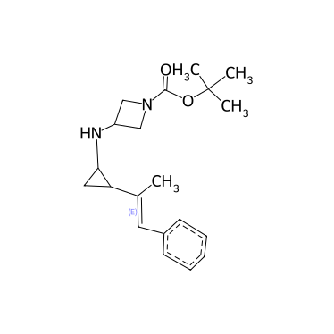 C/C(=C\c1ccccc1)C1CC1NC1CN(C(=O)OC(C)(C)C)C1